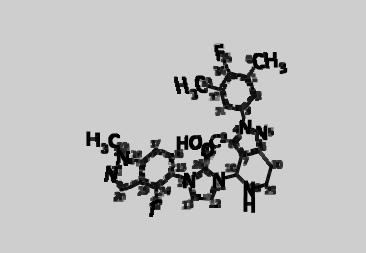 Cc1cc(-n2nc3c(c2C(=O)O)C(n2ccn(-c4ccc5c(cnn5C)c4F)c2=O)NCC3)cc(C)c1F